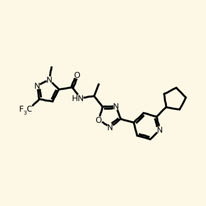 CC(NC(=O)c1cc(C(F)(F)F)nn1C)c1nc(-c2ccnc(C3CCCC3)c2)no1